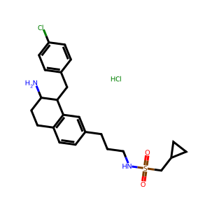 Cl.NC1CCc2ccc(CCCNS(=O)(=O)CC3CC3)cc2C1Cc1ccc(Cl)cc1